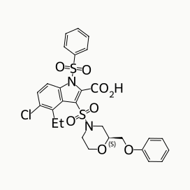 CCc1c(Cl)ccc2c1c(S(=O)(=O)N1CCO[C@H](COc3ccccc3)C1)c(C(=O)O)n2S(=O)(=O)c1ccccc1